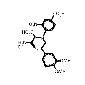 COc1ccc(CCN(c2ccc(C(=O)O)cc2[N+](=O)[O-])C(C(N)=O)C(=O)O)cc1OC.Cl